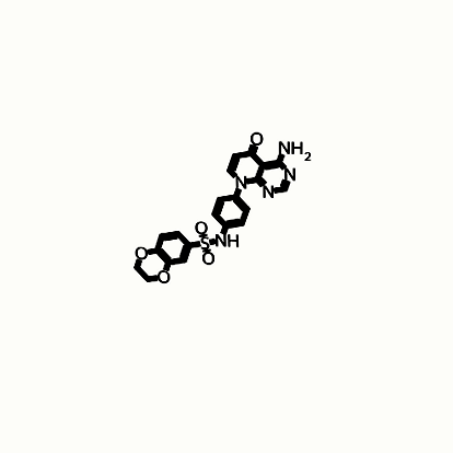 Nc1ncnc2c1c(=O)ccn2-c1ccc(NS(=O)(=O)c2ccc3c(c2)OCCO3)cc1